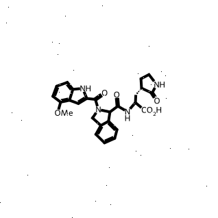 COc1cccc2[nH]c(C(=O)N3Cc4ccccc4C3C(=O)NC(C[C@@H]3CCNC3=O)C(=O)O)cc12